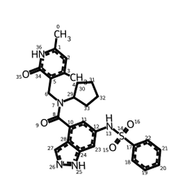 Cc1cc(C)c(CN(C(=O)c2cc(NS(=O)(=O)c3ccccc3)cc3[nH]ncc23)C2CCCC2)c(=O)[nH]1